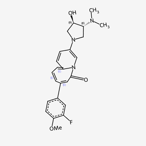 COc1ccc(C2=C\C(=O)N3C=C(N4C[C@@H](O)[C@H](N(C)C)C4)C=C\C3=C/C=C/2)cc1F